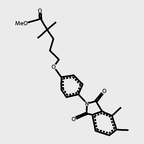 COC(=O)C(C)(C)CCCOc1ccc(N2C(=O)c3ccc(C)c(C)c3C2=O)cc1